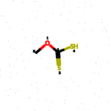 COC(=S)S